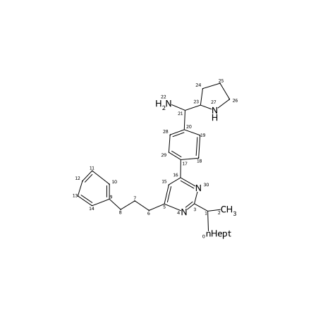 CCCCCCCC(C)c1nc(CCCc2ccccc2)cc(-c2ccc(C(N)C3CCCN3)cc2)n1